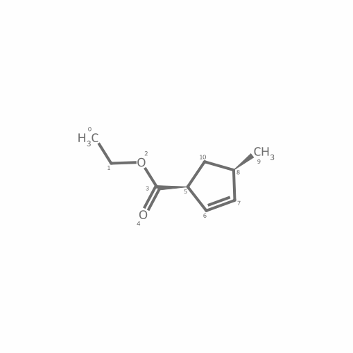 CCOC(=O)[C@@H]1C=C[C@H](C)C1